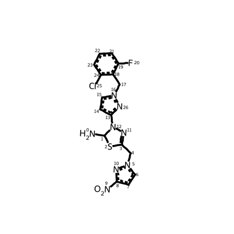 NC1SC(Cn2ccc([N+](=O)[O-])n2)=NN1c1ccn(Cc2c(F)cccc2Cl)n1